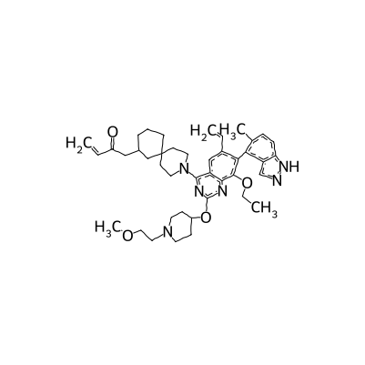 C=CC(=O)CC1CCCC2(CCN(c3nc(OC4CCN(CCOC)CC4)nc4c(OCC)c(-c5c(C)ccc6[nH]ncc56)c(C=C)cc34)CC2)C1